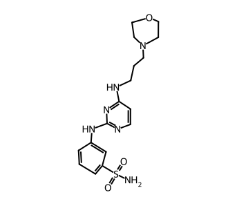 NS(=O)(=O)c1cccc(Nc2nccc(NCCCN3CCOCC3)n2)c1